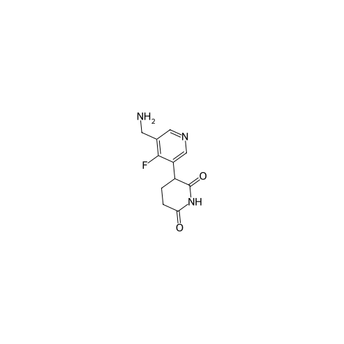 NCc1cncc(C2CCC(=O)NC2=O)c1F